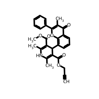 C#CCOC(=O)C1=C(C)NC(C)=C(C(=O)OC)C1c1cccc2c(=O)c(C)c(-c3ccccc3)oc12